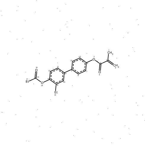 C=C(C)C(=O)Oc1ccc(-c2ccc(OC(=O)CC)c(CC)c2)cc1